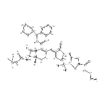 C=CCOC(=O)N1C[C@H](CN2CCC(=CC3=C(C(=O)OC(c4ccccc4)c4ccccc4)N4C(=O)[C@@H](NC(=O)OC(C)(C)C)[C@H]4SC3)C2=O)[C@@H](C(F)(F)F)C1